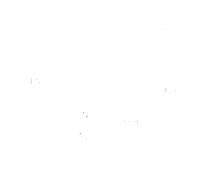 CC(=O)N(C(=O)CN)C(Cc1[c][nH]c2ccccc12)C(=O)O